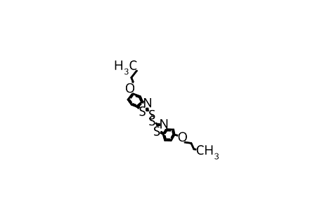 CCCCOc1ccc2sc(SSc3nc4cc(OCCCC)ccc4s3)nc2c1